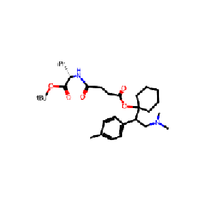 Cc1ccc(C(CN(C)C)C2(OC(=O)CCC(=O)N[C@H](C(=O)OC(C)(C)C)C(C)C)CCCCC2)cc1